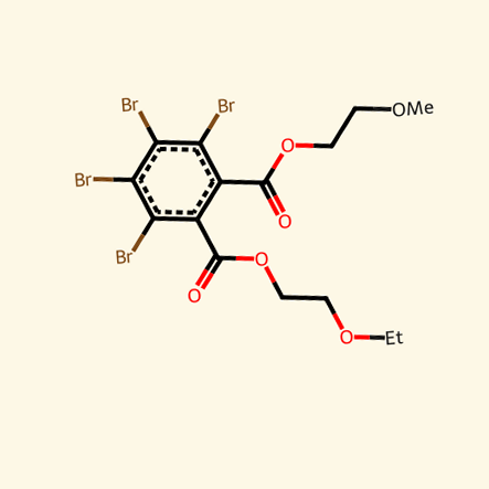 CCOCCOC(=O)c1c(Br)c(Br)c(Br)c(Br)c1C(=O)OCCOC